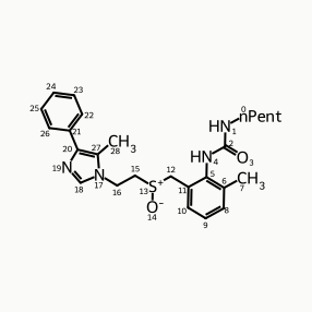 CCCCCNC(=O)Nc1c(C)cccc1C[S+]([O-])CCn1cnc(-c2ccccc2)c1C